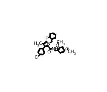 COc1ccc(CNC(=O)c2c(-c3ccc(Cl)cc3)c(C)cn2Cc2ccccc2F)c(OC)c1